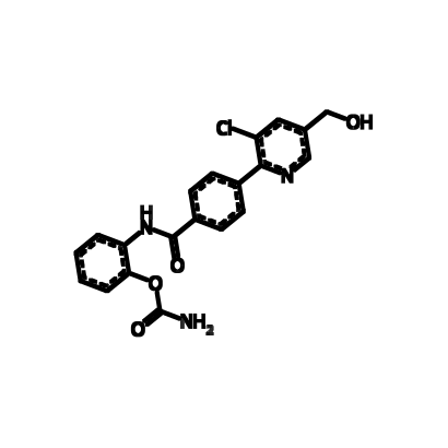 NC(=O)Oc1ccccc1NC(=O)c1ccc(-c2ncc(CO)cc2Cl)cc1